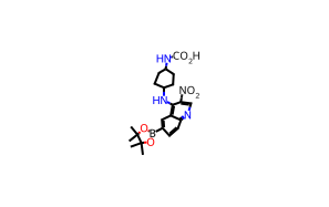 CC1(C)OB(c2ccc3ncc([N+](=O)[O-])c(NC4CCC(NC(=O)O)CC4)c3c2)OC1(C)C